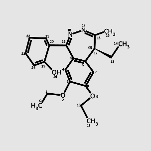 CCOc1cc2c(cc1OCC)[C@H](CC)C(C)=NN=C2c1ccccc1O